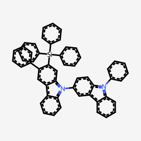 c1ccc(-c2cc3c4ccccc4n(-c4ccc5c(c4)c4ccccc4n5-c4ccccc4)c3cc2[Si](c2ccccc2)(c2ccccc2)c2ccccc2)cc1